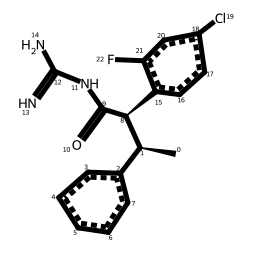 C[C@@H](c1ccccc1)[C@@H](C(=O)NC(=N)N)c1ccc(Cl)cc1F